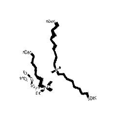 CCCCCCCCCCCCCCCCCC[N+](C)(C)CCCCCCCCCCCCCCCCCC.CCCCCCCCCCCCCCCC[N+](C)(C)CC.CCOS(=O)(=O)O.Cl